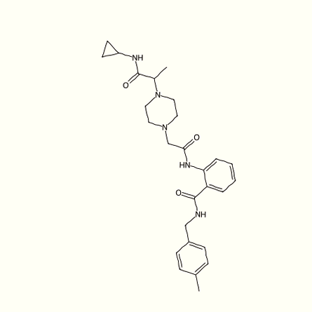 Cc1ccc(CNC(=O)c2ccccc2NC(=O)CN2CCN(C(C)C(=O)NC3CC3)CC2)cc1